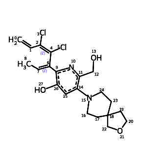 C=C/C(Cl)=C(Cl)\C(=C/C)c1nc(CO)c(N2CCC3(CCOC3)CC2)cc1O